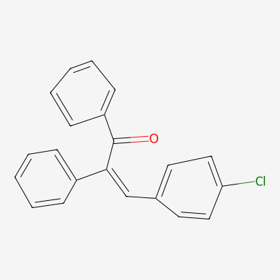 O=C(C(=Cc1ccc(Cl)cc1)c1ccccc1)c1ccccc1